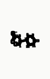 O=CC(C[N+](=O)[O-])c1ccccc1